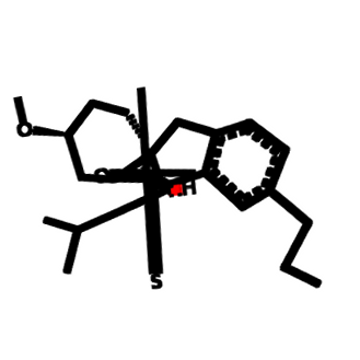 CCCc1ccc2c(c1)C1(NC(=S)N(C(C)C)C1=O)[C@]1(CC[C@H](OC)CC1)C2